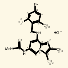 CNC(=O)Nc1cc(NCc2c(C)cc(F)cc2C)c2nc(C)c(C)n2c1.Cl